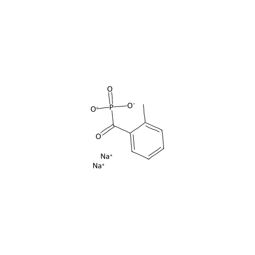 Cc1ccccc1C(=O)P(=O)([O-])[O-].[Na+].[Na+]